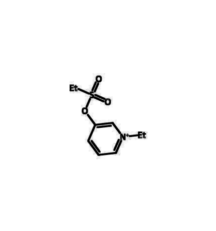 CC[n+]1cccc(OS(=O)(=O)CC)c1